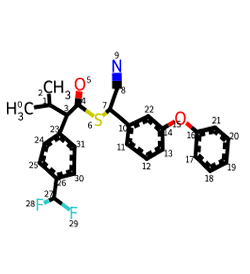 CC(C)C(C(=O)SC(C#N)c1cccc(Oc2ccccc2)c1)c1ccc(C(F)F)cc1